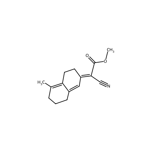 COC(=O)C(C#N)=C1C=C2CCCC(C)=C2CC1